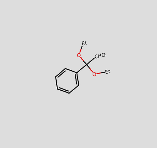 CCOC([C]=O)(OCC)c1ccccc1